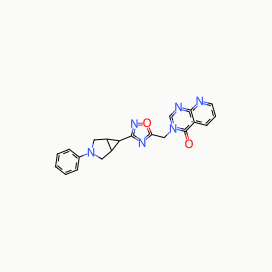 O=c1c2cccnc2ncn1Cc1nc(C2C3CN(c4ccccc4)CC32)no1